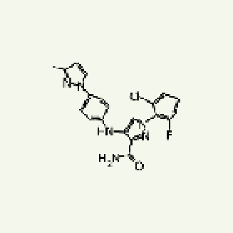 Cc1ccn(-c2ccc(Nc3cn(-c4c(F)cccc4Cl)nc3C(N)=O)cc2)n1